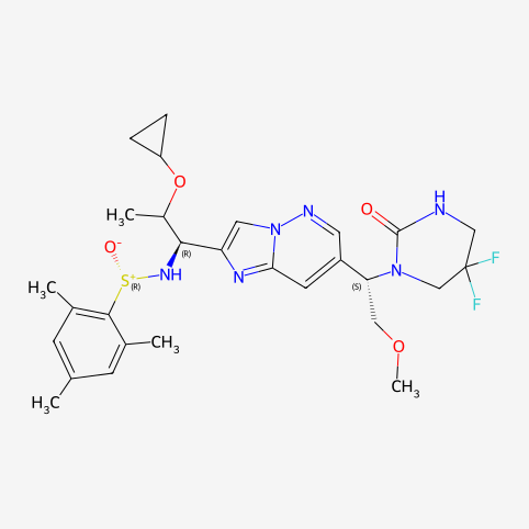 COC[C@H](c1cnn2cc([C@@H](N[S@@+]([O-])c3c(C)cc(C)cc3C)C(C)OC3CC3)nc2c1)N1CC(F)(F)CNC1=O